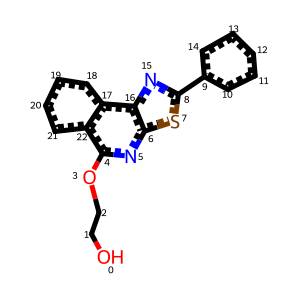 OCCOc1nc2sc(-c3ccccc3)nc2c2ccccc12